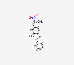 C/C(=C\c1ccc(OCc2ccccc2)c(Cl)c1)[N+](=O)[O-]